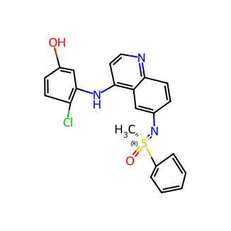 C[S@](=O)(=Nc1ccc2nccc(Nc3cc(O)ccc3Cl)c2c1)c1ccccc1